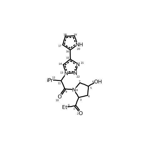 CCC(=O)C1CC(O)CN1C(=O)C(C(C)C)n1cc(-c2ccc[nH]2)nn1